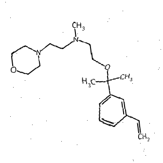 C=Cc1cccc(C(C)(C)OCCN(C)CCN2CCOCC2)c1